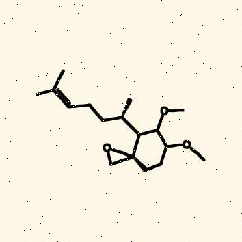 COC1CC[C@]2(CO2)C([C@H](C)CCC=C(C)C)C1OC